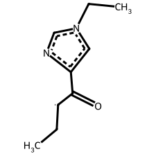 CC[CH]C(=O)c1cn(CC)cn1